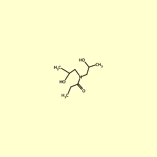 CCC(=O)N(CC(C)O)CC(C)O